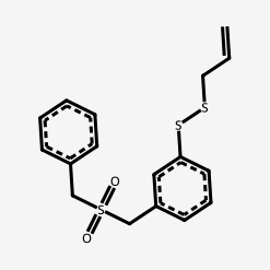 C=CCSSc1cccc(CS(=O)(=O)Cc2ccccc2)c1